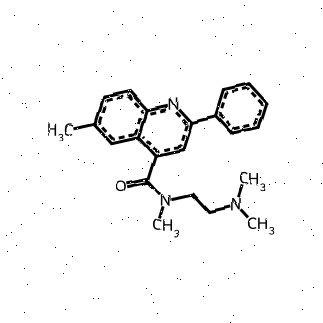 Cc1ccc2nc(-c3ccccc3)cc(C(=O)N(C)CCN(C)C)c2c1